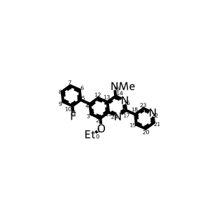 CCOc1cc(-c2ccccc2F)cc2c(NC)nc(-c3cccnc3)nc12